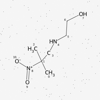 CC(C)(CNCCO)[N+](=O)[O-]